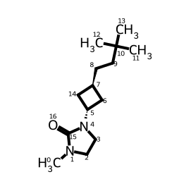 CN1CCN([C@H]2C[C@H](CCC(C)(C)C)C2)C1=O